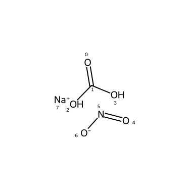 O=C(O)O.O=N[O-].[Na+]